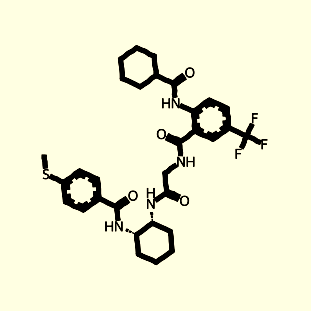 CSc1ccc(C(=O)N[C@H]2CCCC[C@H]2NC(=O)CNC(=O)c2cc(C(F)(F)F)ccc2NC(=O)C2CCCCC2)cc1